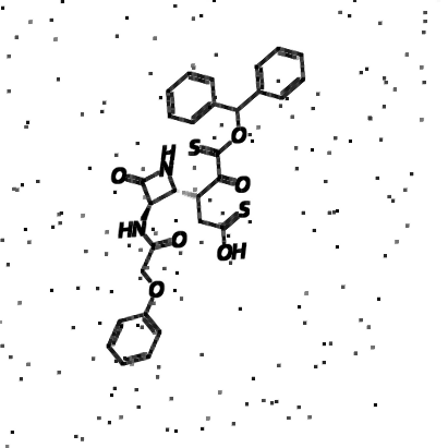 O=C(COc1ccccc1)N[C@H]1C(=O)N[C@@H]1C(CC(O)=S)C(=O)C(=S)OC(c1ccccc1)c1ccccc1